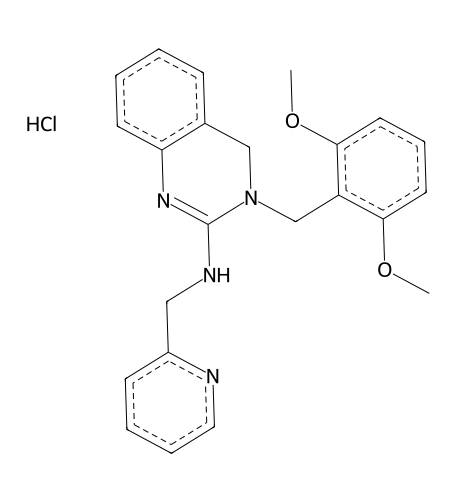 COc1cccc(OC)c1CN1Cc2ccccc2N=C1NCc1ccccn1.Cl